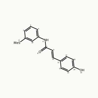 CSc1cccc(NC(=O)/C=C/c2ccc(O)cc2)c1